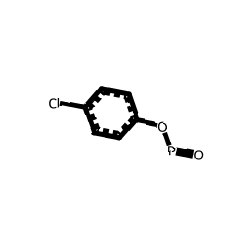 O=POc1ccc(Cl)cc1